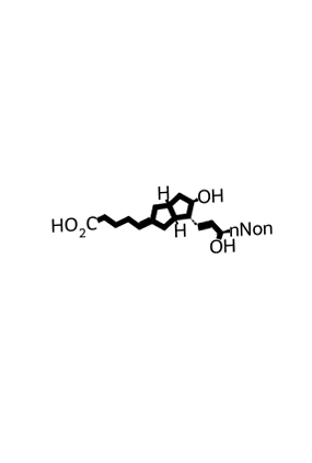 CCCCCCCCC[C@@H](O)/C=C/[C@@H]1[C@H]2C/C(=C/CCCC(=O)O)C[C@@H]2C[C@H]1O